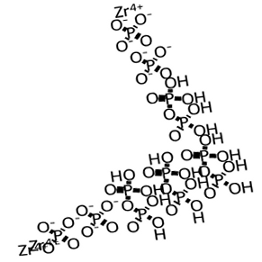 O=P(O)(O)OP(=O)(O)O.O=P(O)(O)OP(=O)(O)O.O=P(O)(O)OP(=O)(O)O.O=P(O)(O)OP(=O)(O)O.O=P([O-])([O-])[O-].O=P([O-])([O-])[O-].O=P([O-])([O-])[O-].O=P([O-])([O-])[O-].[Zr+4].[Zr+4].[Zr+4]